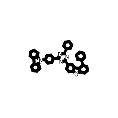 c1ccc(-c2nc(-c3ccc(-n4c5ccccc5c5ccccc54)cc3)nc(-c3ccc4oc5cccc(-c6ccccc6)c5c4c3)n2)cc1